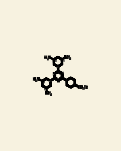 CCOC(=O)N1CCN(c2nc(N3C[C@H](N)C[C@H](N)C3)nc(N3C[C@H](N)C[C@H](N)C3)n2)CC1